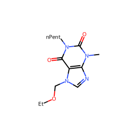 CCCCCn1c(=O)c2c(ncn2COCC)n(C)c1=O